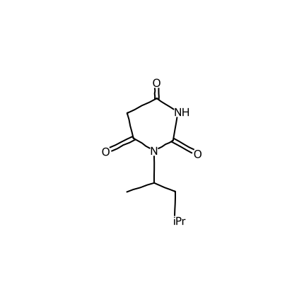 CC(C)CC(C)N1C(=O)CC(=O)NC1=O